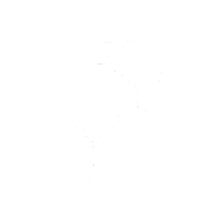 COc1cc2cc(c1Cl)N(C)C(=O)C[C@H](OC(=O)[C@H](C)N(C)C(=O)c1cc(F)c(NC(=O)[C@H](CCCNC(N)=O)NC(=O)[C@@H](NC(=O)CCCCCOC(=O)C(CBr)CBr)C(C)C)cc1Cl)[C@]1(C)O[C@H]1[C@H](C)[C@@H]1C[C@@](O)(NC(=O)O1)[C@H](OC)/C=C/C=C(\C)C2